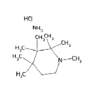 CN1CCC(C)(C)C(C)(C)C1(C)C.Cl.N